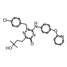 CC(C)(O)CCc1nn(Cc2ccc(Cl)cc2)c(Nc2ccc(Oc3ccccn3)cc2)nc1=O